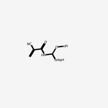 C=C(C#N)C(=O)NC(CCCCCCC)OCCC